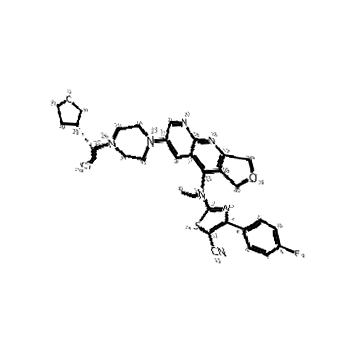 CN(c1nc(-c2ccc(F)cc2)c(C#N)s1)c1c2c(nc3ncc(N4CCN(C(=O)[C@@H]5CCOC5)CC4)cc13)COC2